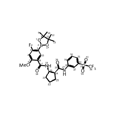 COc1cc(F)c(B2OC(C)(C)C(C)(C)O2)cc1C(=O)N[C@@H]1CCC[C@@H]1C(=O)Nc1cccc(S(=O)(=O)C(F)(F)F)c1